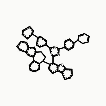 C1=CCC(c2ccc(-c3nc(-c4ccc(-c5ccccc5)cc4)nc(-c4c(C5CCc6cc7ccccc7cc6-c6ccccc65)ccc5c4oc4ccccc45)n3)cc2)C=C1